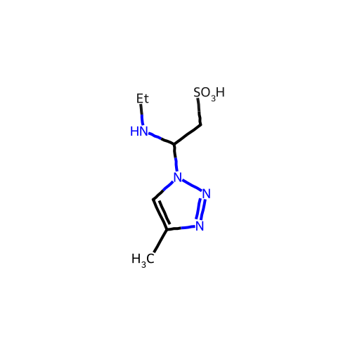 CCNC(CS(=O)(=O)O)n1cc(C)nn1